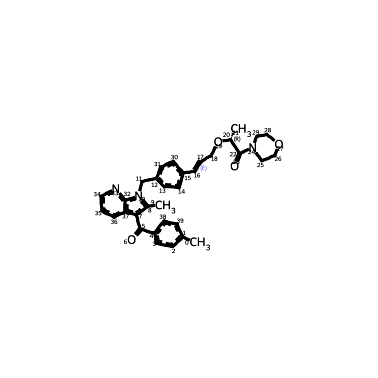 Cc1ccc(C(=O)c2c(C)n(Cc3ccc(/C=C/CO[C@H](C)C(=O)N4CCOCC4)cc3)c3ncccc23)cc1